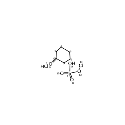 Cl.O=C1CCCCC1.O=S(=O)(O)OCl